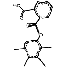 Cc1cc(OC(=O)c2ccccc2C(=O)O)c(C)c(C)c1C